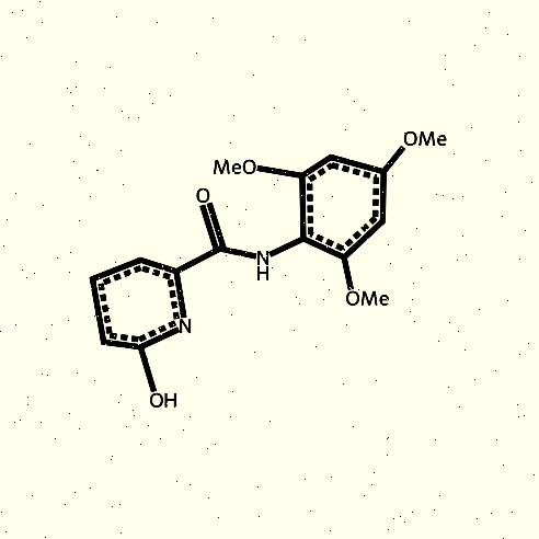 COc1cc(OC)c(NC(=O)c2cccc(O)n2)c(OC)c1